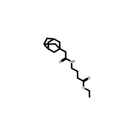 CCOC(=O)CCCNC(=O)CC12CC3CC(C1)C(C3)C2